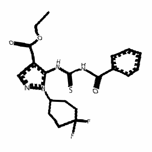 CCOC(=O)c1cnn(C2CCC(F)(F)CC2)c1NC(=S)NC(=O)c1ccccc1